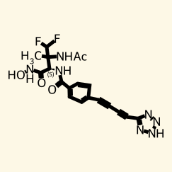 CC(=O)NC(C)(C(F)F)[C@H](NC(=O)c1ccc(C#CC#Cc2nn[nH]n2)cc1)C(=O)NO